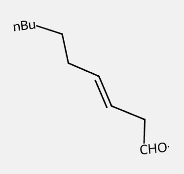 CCCCCCC=CC[C]=O